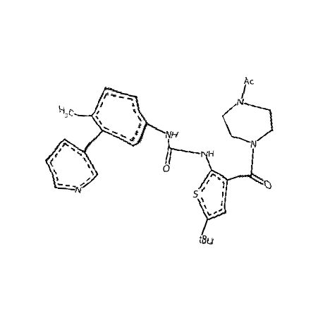 CC(=O)N1CCN(C(=O)c2cc(C(C)(C)C)sc2NC(=O)Nc2ccc(C)c(-c3cccnc3)c2)CC1